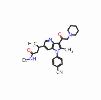 CCNC(=O)CC(C)c1cnc2c(C(=O)CN3CCCCC3)c(C)n(-c3ccc(C#N)cc3)c2c1